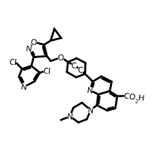 CN1CCN(c2ccc(C(=O)O)c3ccc(C45CCC(OCc6c(-c7c(Cl)cncc7Cl)noc6C6CC6)(CC4)CC5)nc23)CC1